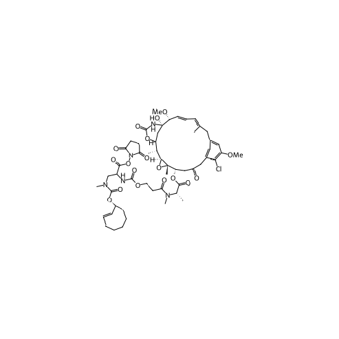 COc1cc2cc(c1Cl)CC(=O)C[C@H](OC(=O)[C@H](C)N(C)C(=O)CCOC(=O)NC(CN(C)C(=O)OC1/C=C/CCCCC1)C(=O)ON1C(=O)CCC1=O)[C@]1(C)O[C@H]1[C@H](C)[C@@H]1C[C@@](O)(NC(=O)O1)[C@H](OC)/C=C/C=C(\C)C2